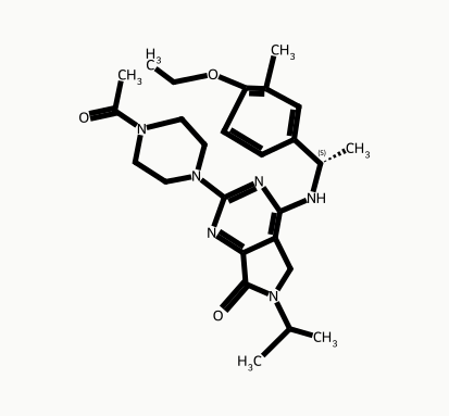 CCOc1ccc([C@H](C)Nc2nc(N3CCN(C(C)=O)CC3)nc3c2CN(C(C)C)C3=O)cc1C